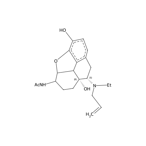 C=CCN(CC)[C@H]1Cc2ccc(O)c3c2C2C(O3)C(NC(C)=O)CC[C@@]21O